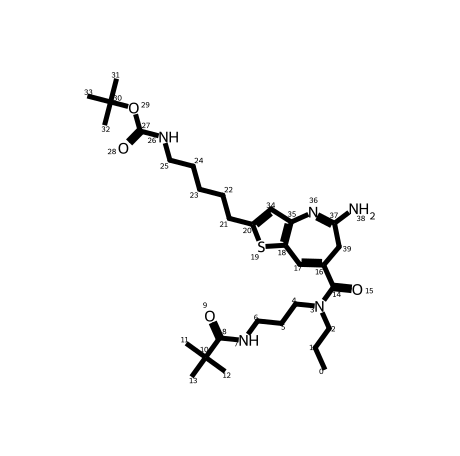 CCCN(CCCNC(=O)C(C)(C)C)C(=O)C1=Cc2sc(CCCCCNC(=O)OC(C)(C)C)cc2N=C(N)C1